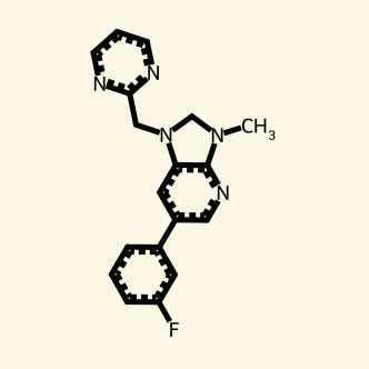 CN1CN(Cc2ncccn2)c2cc(-c3cccc(F)c3)cnc21